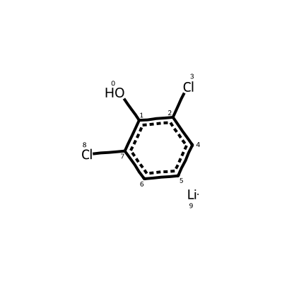 Oc1c(Cl)cccc1Cl.[Li]